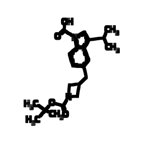 CC(C)c1cn(C(=O)O)c2ccc(CC3CN(C(=O)OC(C)(C)C)C3)cc12